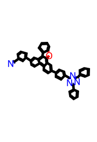 N#Cc1cccc(-c2ccc3c4ccc(-c5ccc(-c6nc(-c7ccccc7)nc(-c7ccccc7)n6)cc5)cc4c4oc5ccccc5c4c3c2)c1